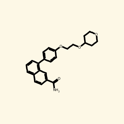 NC(=O)c1ccc2cccc(-c3ccc(OCCOC4CCOCC4)cc3)c2c1